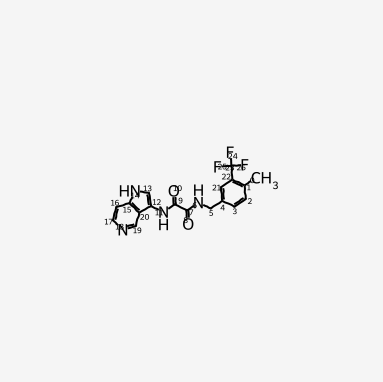 Cc1ccc(CNC(=O)C(=O)Nc2c[nH]c3ccncc23)cc1C(F)(F)F